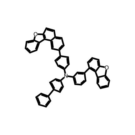 c1ccc(-c2ccc(N(c3ccc(-c4ccc5ccc6oc7ccccc7c6c5c4)cc3)c3cccc(-c4cccc5oc6ccccc6c45)c3)cc2)cc1